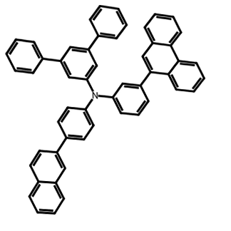 c1ccc(-c2cc(-c3ccccc3)cc(N(c3ccc(-c4ccc5ccccc5c4)cc3)c3cccc(-c4cc5ccccc5c5ccccc45)c3)c2)cc1